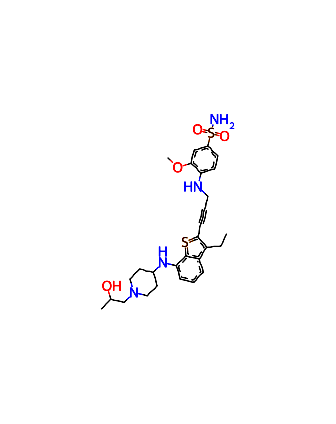 CCc1c(C#CCNc2ccc(S(N)(=O)=O)cc2OC)sc2c(NC3CCN(CC(C)O)CC3)cccc12